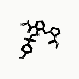 COC(=O)[C@@H]1CCCN1Cc1cccc(C(=O)NO)c1NCS(=O)(=O)c1ccc(OC)cc1